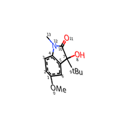 COc1ccc2c(c1)C(O)(C(C)(C)C)C(=O)N2C